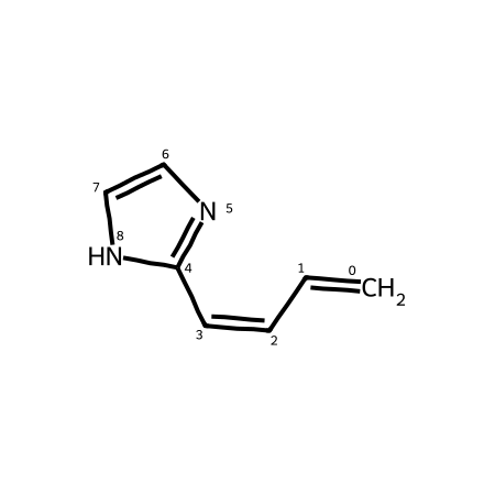 C=C/C=C\c1ncc[nH]1